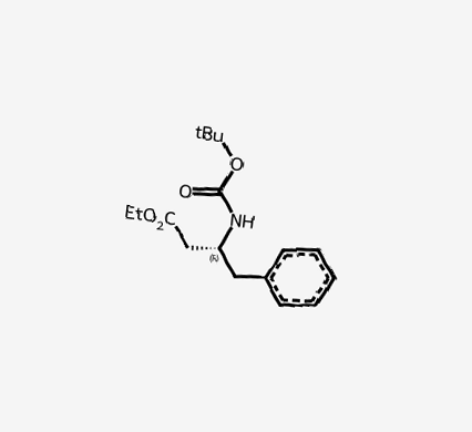 CCOC(=O)C[C@@H](Cc1ccccc1)NC(=O)OC(C)(C)C